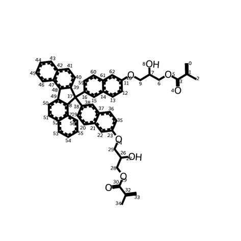 C=C(C)C(=O)OCC(O)COc1ccc2cc(C3(c4ccc5cc(OCC(O)COC(=O)C(=C)C)ccc5c4)c4ccc5ccccc5c4-c4ccc5ccccc5c43)ccc2c1